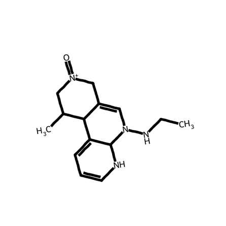 CCNN1C=C2C[N+](=O)CC(C)C2C2=CC=CNC21